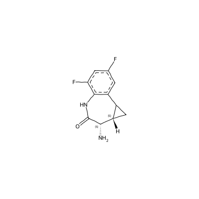 N[C@@H]1C(=O)Nc2c(F)cc(F)cc2C2C[C@@H]21